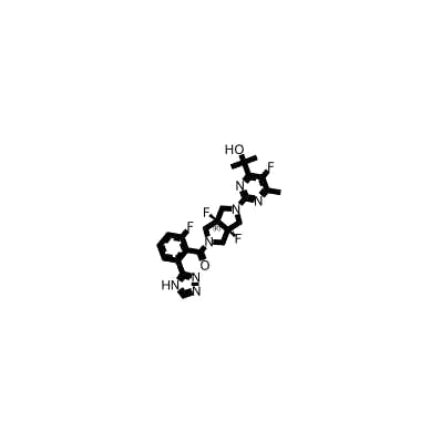 Cc1nc(N2C[C@]3(F)CN(C(=O)c4c(F)cccc4-c4nnc[nH]4)C[C@]3(F)C2)nc(C(C)(C)O)c1F